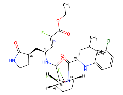 CCOC(=O)/C(F)=C/[C@H](C[C@H]1CCNC1=O)NC(=O)[C@H]1[C@H]2CC[C@H](CC2(F)F)N1C(=O)[C@H](CC(C)C)Nc1cccc(Cl)c1